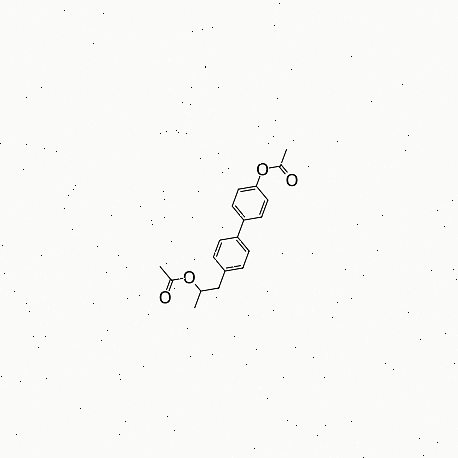 CC(=O)Oc1ccc(-c2ccc(CC(C)OC(C)=O)cc2)cc1